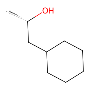 [CH2][C@H](O)CC1CCCCC1